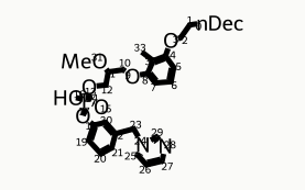 CCCCCCCCCCCCOc1cccc(OCC(COP(=O)(O)Oc2cccc(C[n+]3cccnc3)c2)OC)c1C